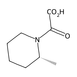 C[C@@H]1CCCCN1C(=O)C(=O)O